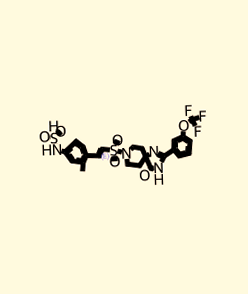 Cc1cc(N[SH](=O)=O)ccc1/C=C/S(=O)(=O)N1CCC2(CC1)N=C(c1cccc(OC(F)(F)F)c1)NC2=O